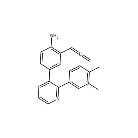 C=C=Cc1cc(-c2cccnc2-c2ccc(C)c(C)c2)ccc1N